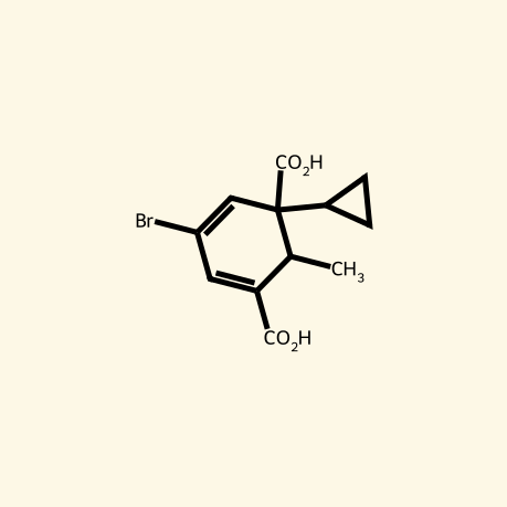 CC1C(C(=O)O)=CC(Br)=CC1(C(=O)O)C1CC1